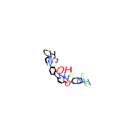 Cc1ccn(-c2ccc(-c3ccc(OC4CC5NC(C4F)C(F)C5F)nn3)c(O)c2)n1